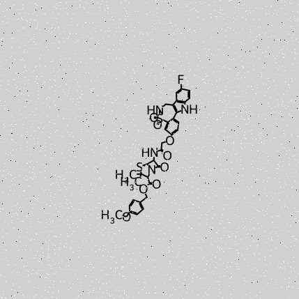 COc1ccc(COC(=O)C2N3C(=O)C(NC(=O)COc4ccc5c(c4)S(=O)(=O)NCc4c-5[nH]c5ccc(F)cc45)C3SC2(C)C)cc1